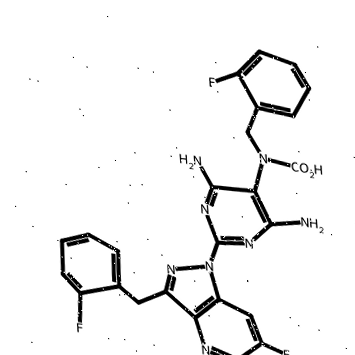 Nc1nc(-n2nc(Cc3ccccc3F)c3ncc(F)cc32)nc(N)c1N(Cc1ccccc1F)C(=O)O